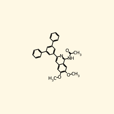 COc1cc2cc(-c3cc(-c4ccccc4)cc(-c4ccccc4)c3)nc(NC(C)=O)c2cc1OC